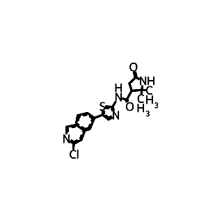 CC1(C)NC(=O)CC1C(=O)Nc1ncc(-c2ccc3cnc(Cl)cc3c2)s1